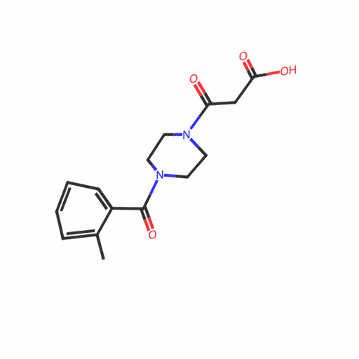 Cc1ccccc1C(=O)N1CCN(C(=O)CC(=O)O)CC1